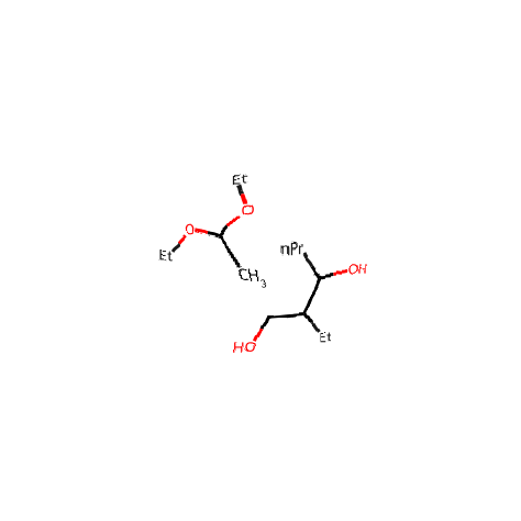 CCCC(O)C(CC)CO.CCOC(C)OCC